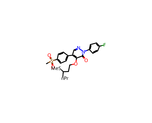 CCCC(CCOc1c(-c2ccc(S(C)(=O)=O)cc2)cnn(-c2ccc(F)cc2)c1=O)SC